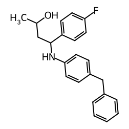 CC(O)CC(Nc1ccc(Cc2ccccc2)cc1)c1ccc(F)cc1